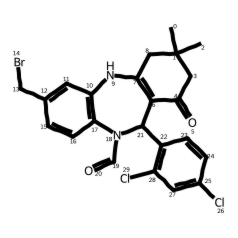 CC1(C)CC(=O)C2=C(C1)Nc1cc(CBr)ccc1N(C=O)C2c1ccc(Cl)cc1Cl